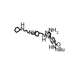 CCCCNC(=O)N1CCN(c2cc(N)nc(NCC3CCC(CNCCCNC4CCCCC4)CC3)n2)CC1